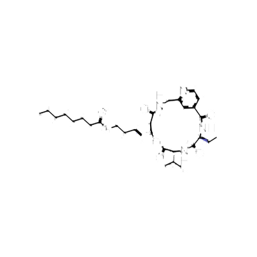 C/C=C1\NC(=O)c2ccnc(c2)CNC(=O)C[C@@H](/C=C/CCSC(=O)CCCCCCC)OC(=O)[C@H](C(C)C)NC1=O